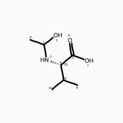 CC(O)N[C@H](C(=O)O)C(C)C